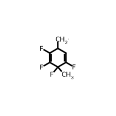 [CH2]C1C=C(F)C(C)(F)C(F)=C1F